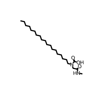 CCCCCCCCCCCCCCCCCCCN(CC(=O)NC)C(=O)O